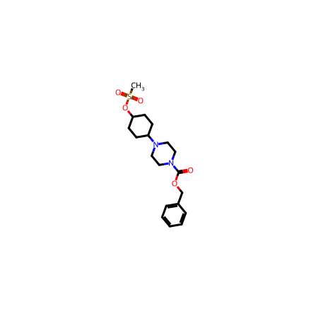 CS(=O)(=O)OC1CCC(N2CCN(C(=O)OCc3ccccc3)CC2)CC1